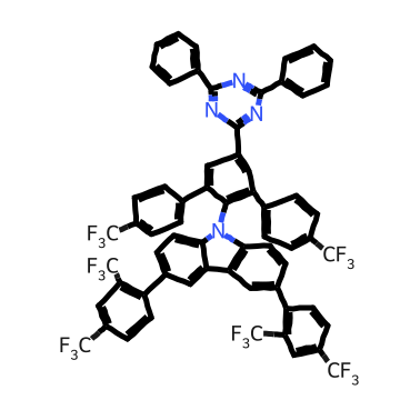 FC(F)(F)c1ccc(-c2cc(-c3nc(-c4ccccc4)nc(-c4ccccc4)n3)cc(-c3ccc(C(F)(F)F)cc3)c2-n2c3ccc(-c4ccc(C(F)(F)F)cc4C(F)(F)F)cc3c3cc(-c4ccc(C(F)(F)F)cc4C(F)(F)F)ccc32)cc1